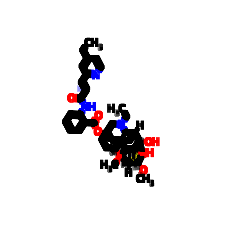 CCc1ccnc(/C=C/C(=O)Nc2ccccc2C(=O)O[C@@]23CC[C@H](OC)[C@]45C([C@@H](CC24)[C@@]2(O)C[C@H](OC)[C@H]4C[C@@H]5[C@]2(O)S4)N(CC)C3)c1